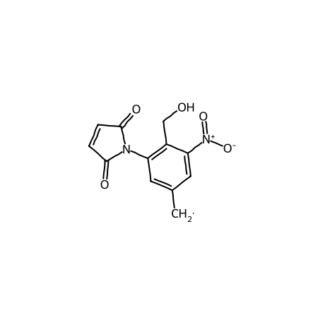 [CH2]c1cc(N2C(=O)C=CC2=O)c(CO)c([N+](=O)[O-])c1